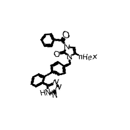 CCCCCCc1cn(C(=O)c2ccccc2)c(=O)n1Cc1ccc(-c2ccccc2-c2nnn[nH]2)cc1